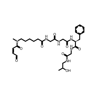 CC(O)CNC(=O)CNC(=O)[C@H](Cc1ccccc1)NC(=O)CNC(=O)CNC(=O)CCCCCN(C)C(=O)/C=C\C=O